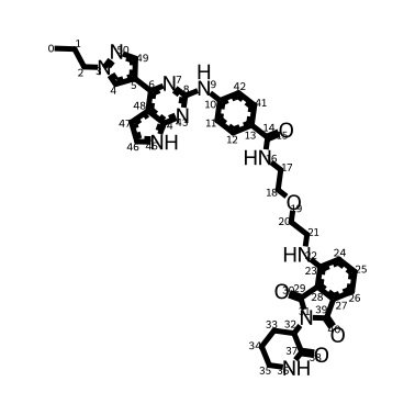 CCCn1cc(-c2nc(Nc3ccc(C(=O)NCCOCCNc4cccc5c4C(=O)N(C4CCCNC4=O)C5=O)cc3)nc3[nH]ccc23)cn1